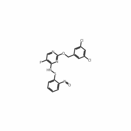 O=Nc1ccccc1SNc1nc(OCc2cc(Cl)cc(Cl)c2)ncc1F